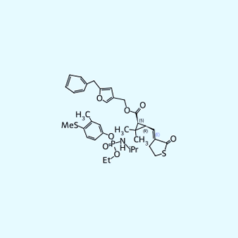 CC1(C)[C@H](/C=C2\CCSC2=O)[C@@H]1C(=O)OCc1coc(Cc2ccccc2)c1.CCOP(=O)(NC(C)C)Oc1ccc(SC)c(C)c1